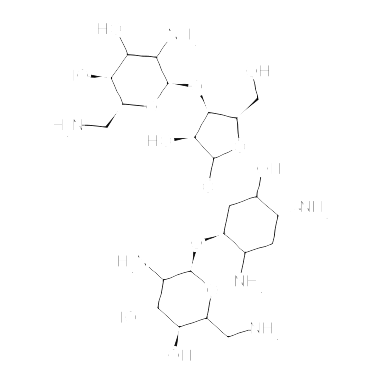 NCC1O[C@H](O[C@@H]2C(N)C[C@@H](N)C(O)[C@H]2OC2O[C@H](CO)[C@H](O[C@H]3O[C@@H](CN)[C@@H](O)C(O)C3N)[C@@H]2O)C(N)[C@@H](O)[C@@H]1O